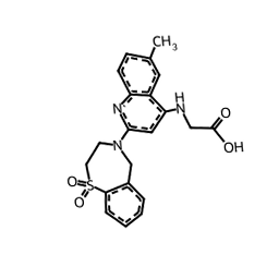 Cc1ccc2nc(N3CCS(=O)(=O)c4ccccc4C3)cc(NCC(=O)O)c2c1